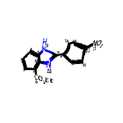 CCOC(=O)c1cccc2[nH]c(-c3ccc([N+](=O)[O-])cc3)nc12